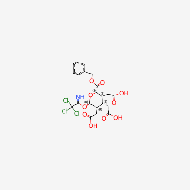 N=C(O[C@H]1O[C@H](C(=O)OCc2ccccc2)[C@@H](CC(=O)O)[C@H](CC(=O)O)[C@H]1CC(=O)O)C(Cl)(Cl)Cl